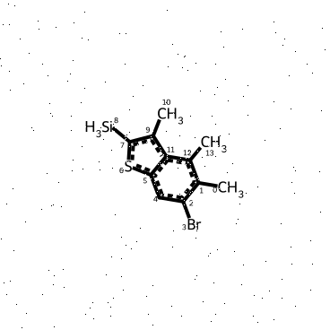 Cc1c(Br)cc2sc([SiH3])c(C)c2c1C